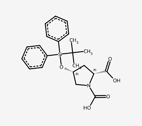 CC(C)(C)[Si](O[C@@H]1C[C@H](C(=O)O)N(C(=O)O)C1)(c1ccccc1)c1ccccc1